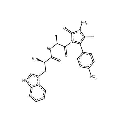 Cc1c(-c2ccc([N+](=O)[O-])cc2)n(C(=O)[C@H](C)NC(=O)[C@H](N)Cc2c[nH]c3ccccc23)c(=O)n1N